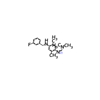 Cc1cc(NCc2cccc(F)c2)c(C)cc1/N=C\N(C)C